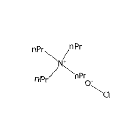 CCC[N+](CCC)(CCC)CCC.[O-]Cl